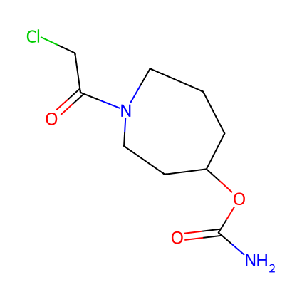 NC(=O)OC1CCCN(C(=O)CCl)CC1